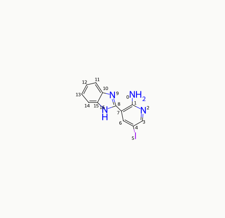 Nc1ncc(I)cc1-c1nc2ccccc2[nH]1